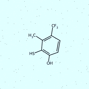 Cc1c(C(F)(F)F)ccc(O)c1S